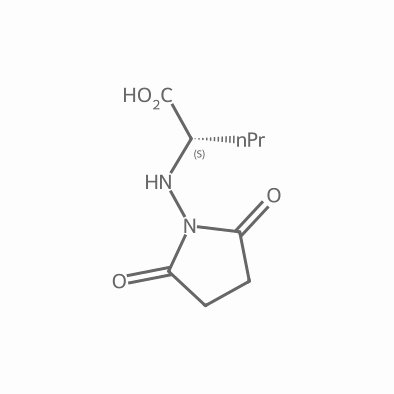 CCC[C@H](NN1C(=O)CCC1=O)C(=O)O